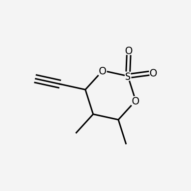 C#CC1OS(=O)(=O)OC(C)C1C